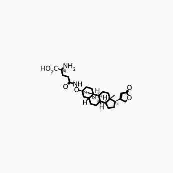 C[C@]12CC[C@H](ONC(=O)CC[C@H](N)C(=O)O)C[C@H]1CC[C@@H]1[C@@H]2CC[C@]2(C)[C@@H](C3=CC(=O)OC3)CC[C@@H]12